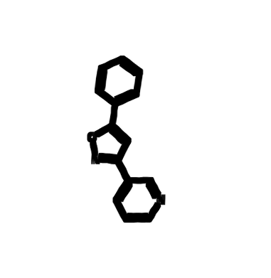 c1ccc(-c2cc(-c3cccnc3)no2)cc1